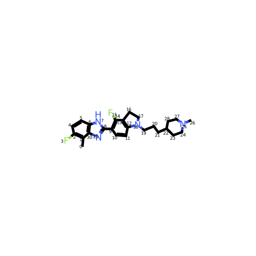 Cc1c(F)ccc2[nH]c(-c3ccc4c(c3F)CCN4CCCC3CCN(C)CC3)nc12